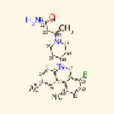 CC(=O)c1ccc(N(Cc2cc(C#N)ccc2F)C2CCN([C@H](C)CC(N)=O)CC2)cc1